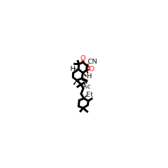 CC[C@]1(CCC(C)(C)[C@]2(C)CC[C@H]3C(C)(C)C(=O)[C@]4(C#N)O[C@@H]4[C@]3(C)/C2=C/C(C)=O)CCC(C)(C)CC1C